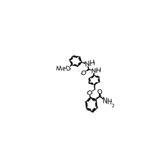 COc1cccc(NC(=O)Nc2ccc(COc3ccccc3C(N)=O)cc2)c1